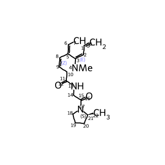 C=C/C=C(/NC)C(=CC)/C=C\CC(=O)NCC(=O)N1CCC[C@@H]1C